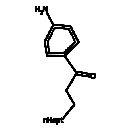 CCCCCCCCCC(=O)c1ccc(N)cc1